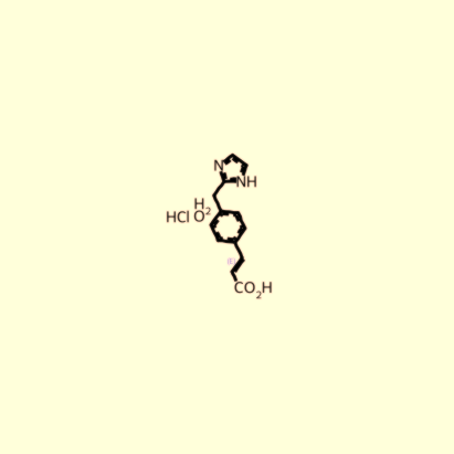 Cl.O.O=C(O)/C=C/c1ccc(Cc2ncc[nH]2)cc1